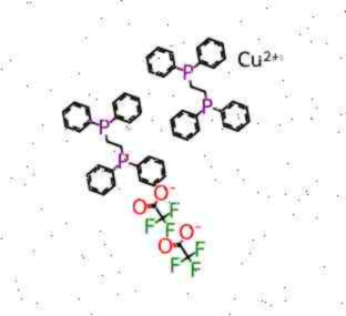 O=C([O-])C(F)(F)F.O=C([O-])C(F)(F)F.[Cu+2].c1ccc(P(CCP(c2ccccc2)c2ccccc2)c2ccccc2)cc1.c1ccc(P(CCP(c2ccccc2)c2ccccc2)c2ccccc2)cc1